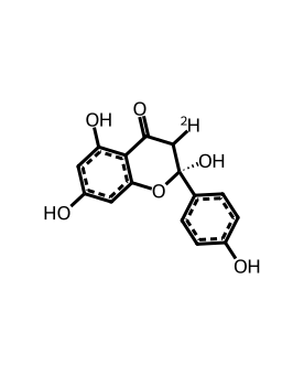 [2H]C1C(=O)c2c(O)cc(O)cc2O[C@]1(O)c1ccc(O)cc1